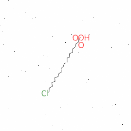 O=C(O)C(=O)CCCCCCCCCCCCCCCCCCCCCl